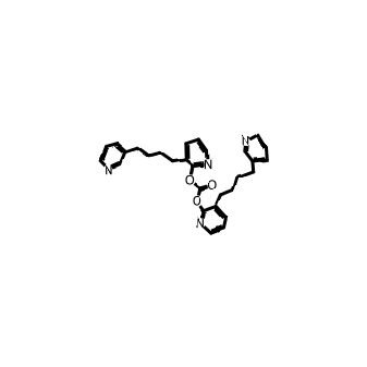 O=C(Oc1ncccc1CCCCc1cccnc1)Oc1ncccc1CCCCc1cccnc1